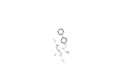 CCOC(=O)CC(CC(=O)OCC)(N[C@H](CC(=O)O)Cc1ccc(-c2ccccc2)cc1)P(=O)(O)O